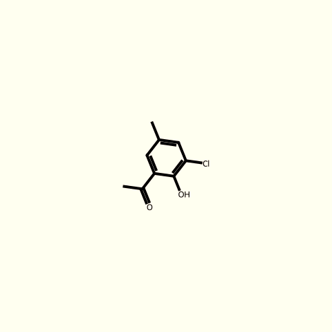 CC(=O)c1cc(C)cc(Cl)c1O